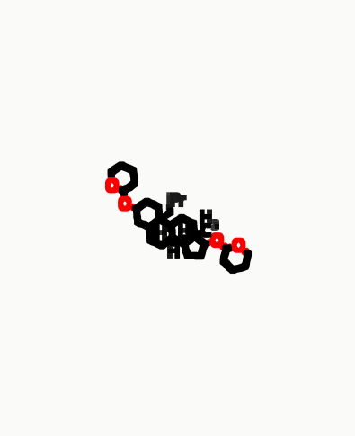 CC(C)C[C@]12CC[C@H](OC3CCCCO3)CC1=CC[C@@H]1[C@@H]2CC[C@]2(C)[C@@H](OC3CCCCO3)CC[C@@H]12